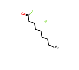 CCCCCCCCC(=O)F.F